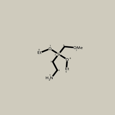 CCO[Si](CCN)(COC)OCC